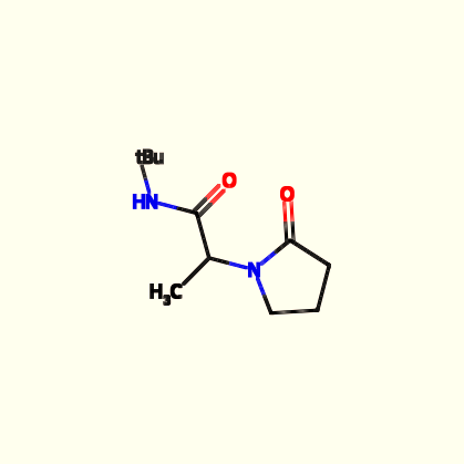 CC(C(=O)NC(C)(C)C)N1CCCC1=O